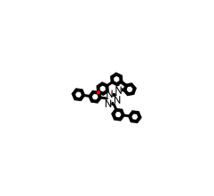 c1ccc(-c2ccc(-c3nc(-c4cccc(-c5ccccc5)c4)nc(-n4c5ccccc5c5cccc(-c6ccccc6)c54)n3)cc2)cc1